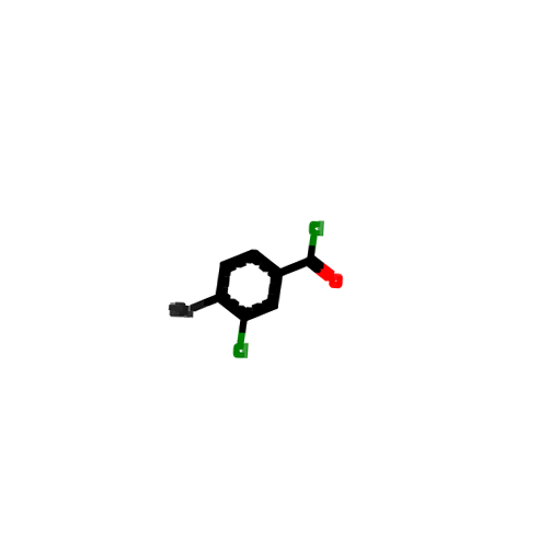 CC(C)(C)c1ccc(C(=O)Cl)cc1Cl